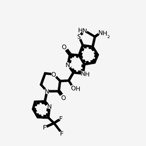 NC1NSc2c1ccc1[nH]c(C(O)C3OCCN(c4cccc(C(F)(F)F)n4)C3=O)nc(=O)c21